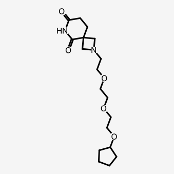 O=C1CCC2(CN(CCOCCOCCOC3CCCC3)C2)C(=O)N1